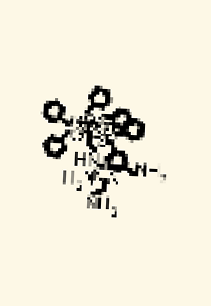 NCCC1=NC(CCN)N(N)C(NCCC([Si](OCc2ccccc2)(OCc2ccccc2)OCc2ccccc2)[Si](OCc2ccccc2)(OCc2ccccc2)OCc2ccccc2)=N1